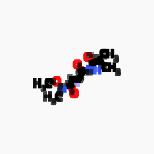 CON(C)C(=O)/C=C/C(=O)NC(=O)C(C)C